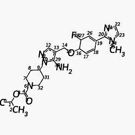 CC(C)OC(=O)N1CCC(n2ncc(COC3C=CC(c4nccn4C)=CC3F)c2N)CC1